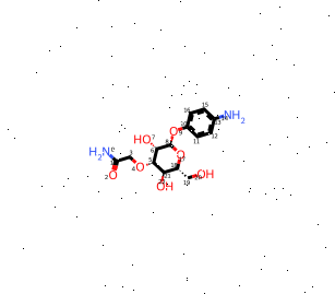 NC(=O)CO[C@@H]1[C@H](O)[C@@H](Oc2ccc(N)cc2)O[C@H](CO)[C@H]1O